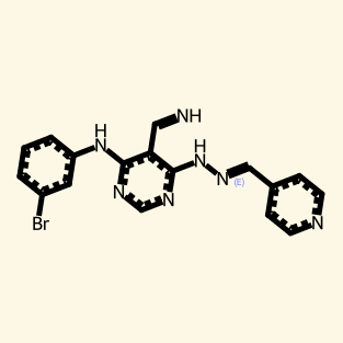 N=Cc1c(N/N=C/c2ccncc2)ncnc1Nc1cccc(Br)c1